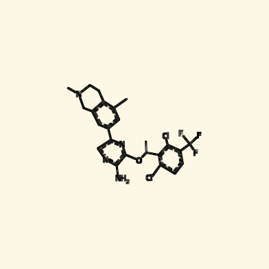 Cc1cc(-c2cnc(N)c(OC(C)c3c(Cl)ccc(C(F)(F)F)c3Cl)n2)cc2c1CCN(C)C2